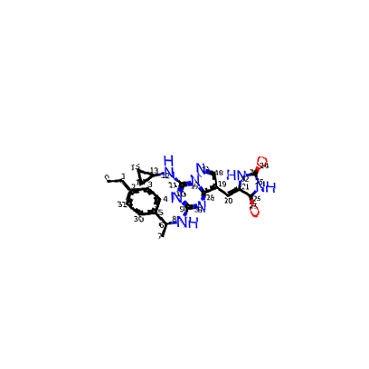 CCc1ccc(C(C)Nc2nc(NC3CC3)n3ncc(/C=C4\NC(=O)NC4=O)c3n2)cc1